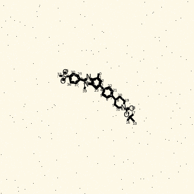 Cc1cc(-c2ccc(C3CCN(C(=O)OC(C)(C)C)CC3)cc2)cc2c1nc(-c1ccc(S(C)(=O)=O)cc1)n2C